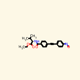 CCOC(=O)[C@@H](NC(=O)c1ccc(C#Cc2ccc(N=O)cc2)cc1)C(C)C